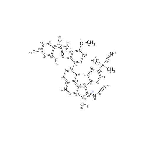 COc1ncc(-c2ccc3ncc4c(c3c2)n(-c2ccc(C(C)(C)C#N)cc2)/c(=N\C#N)n4C)cc1NS(=O)(=O)c1ccc(F)cc1F